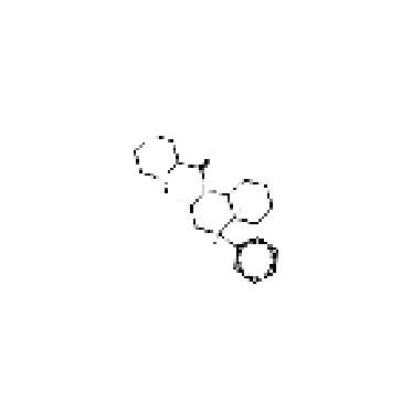 CN1CCOCC1C(=O)N1CC[C@@](O)(c2ccccc2)[C@@H]2CCCCC21